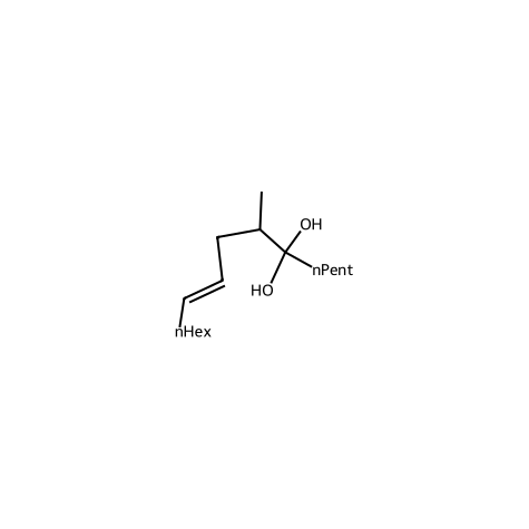 CCCCCCC=CCC(C)C(O)(O)CCCCC